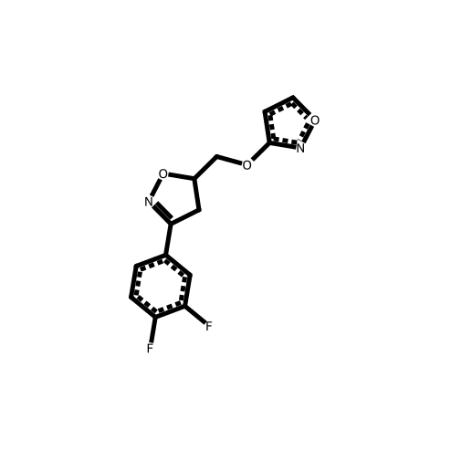 Fc1ccc(C2=NOC(COc3ccon3)C2)cc1F